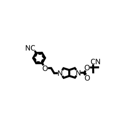 CC(C)(C#N)OC(=O)N1CC2CN(CCOc3ccc(C#N)cc3)CC2C1